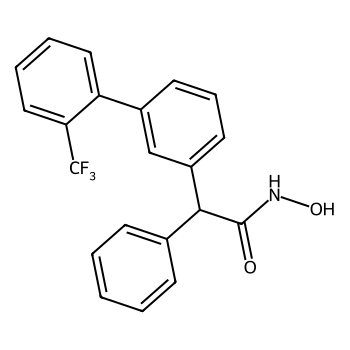 O=C(NO)C(c1ccccc1)c1cccc(-c2ccccc2C(F)(F)F)c1